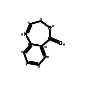 O=C1[N]CC=Nc2ccccc21